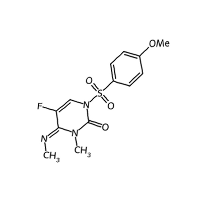 C/N=c1/c(F)cn(S(=O)(=O)c2ccc(OC)cc2)c(=O)n1C